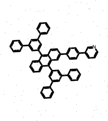 c1ccc(-c2cc(-c3ccccc3)cc(-c3c4ccccc4c(-c4cc(-c5ccccc5)cc(-c5ccccc5)c4)c4cc(-c5ccc(-c6cccnc6)cc5)ccc34)c2)cc1